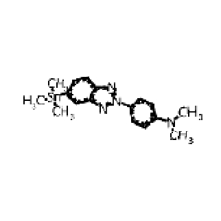 CN(C)c1ccc(-n2nc3cc[c]([Sn]([CH3])([CH3])[CH3])cc3n2)cc1